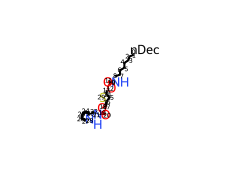 CCCCCCCCCCCCCCCCCCNC(=O)OCC1CC(COC(=O)NCc2ccccn2)S1